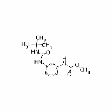 COC(=O)Nc1cccc(NC(=O)NC(C)(C)C)c1